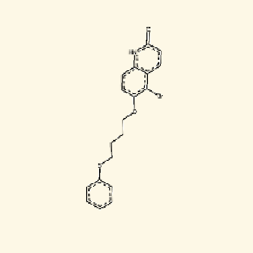 O=c1ccc2c(Br)c(OCCCCSc3ccccc3)ccc2[nH]1